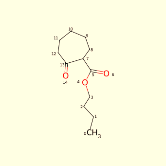 CCCCOC(=O)C1CCCCCC1=O